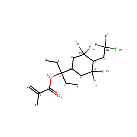 C=C(C)C(=O)OC(CC)(CC)C1CC(F)(F)C(CC(F)(F)F)C(F)(F)C1